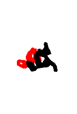 CC(=O)O.CCc1ccccc1CC